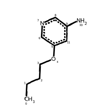 CCCCOc1cncc(N)c1